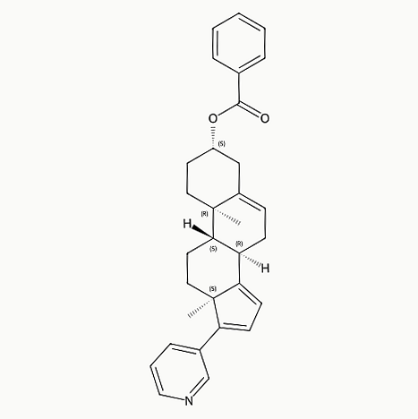 C[C@]12CC[C@H]3[C@@H](CC=C4C[C@@H](OC(=O)c5ccccc5)CC[C@@]43C)C1=CC=C2c1cccnc1